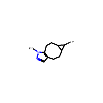 CC(C)C1C2CCc3cnn(C(C)C)c3CCC21